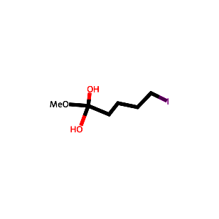 COC(O)(O)CCCCI